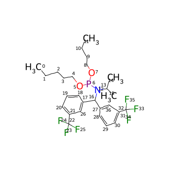 CCCCCOP(OCCCC)N(C(C)C)C(c1cccc(C(F)(F)F)c1)c1cccc(C(F)(F)F)c1